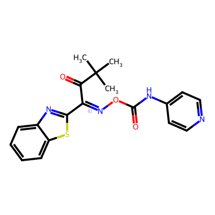 CC(C)(C)C(=O)/C(=N\OC(=O)Nc1ccncc1)c1nc2ccccc2s1